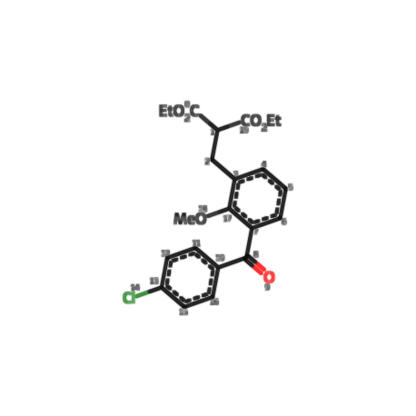 CCOC(=O)C(Cc1cccc(C(=O)c2ccc(Cl)cc2)c1OC)C(=O)OCC